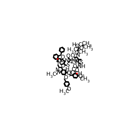 C=C[C@]12SCC(C[N+]3(Cc4nn(CC)c5cc(OCc6ccc(OC)cc6)c(OCc6ccc(OC)cc6)cc5c4=O)CCCC3)=C(C(=O)OC(c3ccccc3)c3ccccc3)N1C(=O)[C@H]2NC(=O)/C(=N\OC(C)(C)C(=O)OC(C)(C)C)c1csc(NC(=O)OC(C)(C)C)n1